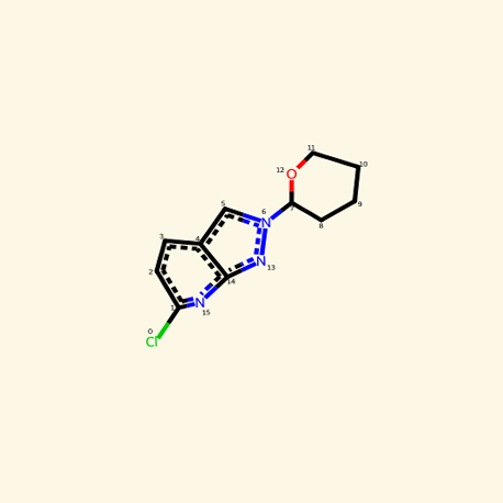 Clc1ccc2cn(C3CCCCO3)nc2n1